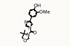 COc1cc(-c2cn(C(=O)N3COCC3(C)C)cn2)ccc1O